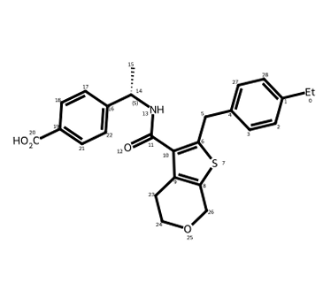 CCc1ccc(Cc2sc3c(c2C(=O)N[C@@H](C)c2ccc(C(=O)O)cc2)CCOC3)cc1